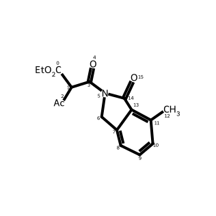 CCOC(=O)C(C(C)=O)C(=O)N1Cc2cccc(C)c2C1=O